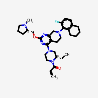 C=CC(=O)N1CCN(c2nc(OC[C@@H]3CCCN3C)nc3c2CCN(c2c(F)ccc4c2CCCC4)C3)C[C@@H]1CC#N